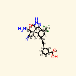 Cc1n[nH]c2c1C(c1cc(C#Cc3cccc(C(=O)O)c3)cc(C(F)(F)F)c1)(C(C)C)C(C#N)=C(N)O2